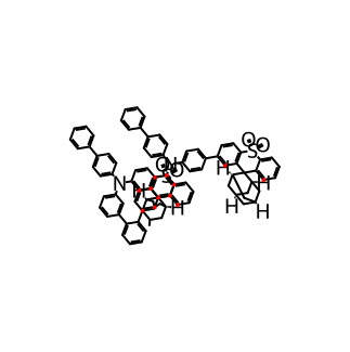 CC1C[C@@H]2CCC[C@@H](C1)C21c2ccccc2S(=O)(=O)c2ccc(N(c3ccc(-c4ccccc4)cc3)c3cccc(-c4ccccc4-c4ccc5cc(N(c6ccc(-c7ccccc7)cc6)c6ccc(-c7ccc8c(c7)C7(c9ccccc9S8(=O)=O)[C@H]8C[C@H]9C[C@H](C[C@H]7C9)C8)cc6)ccc5c4)c3)cc21